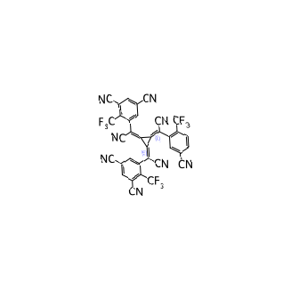 N#CC(=C1C(=C(\C#N)c2cc(C#N)ccc2C(F)(F)F)/C1=C(\C#N)c1cc(C#N)cc(C#N)c1C(F)(F)F)c1cc(C#N)cc(C#N)c1C(F)(F)F